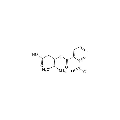 CC(C)C(CC(=O)O)OC(=O)c1ccccc1[N+](=O)[O-]